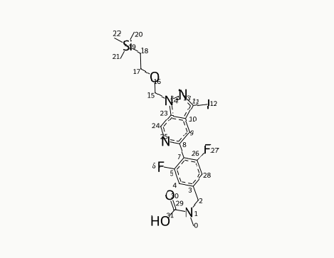 CN(Cc1cc(F)c(-c2cc3c(I)nn(COCC[Si](C)(C)C)c3cn2)c(F)c1)C(=O)O